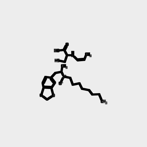 C/C=C\NC(CS)C(=O)O.CCCCCCCC[S+]([O-])C(C)Cc1ccc2c(c1)OCO2